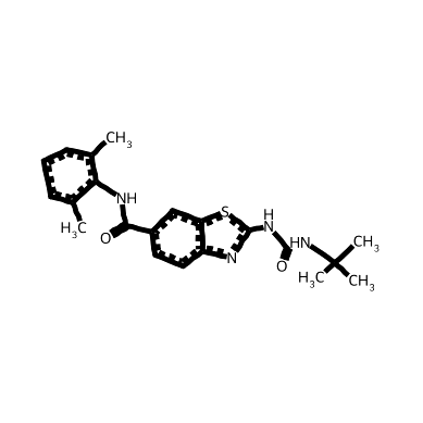 Cc1cccc(C)c1NC(=O)c1ccc2nc(NC(=O)NC(C)(C)C)sc2c1